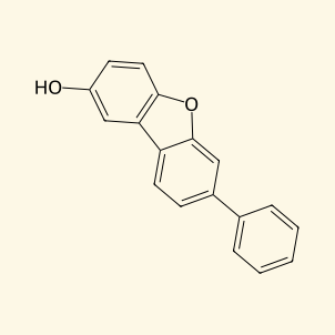 Oc1ccc2oc3cc(-c4ccccc4)ccc3c2c1